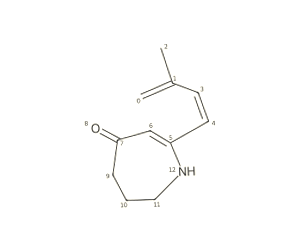 C=C(C)/C=C\C1=CC(=O)CCCN1